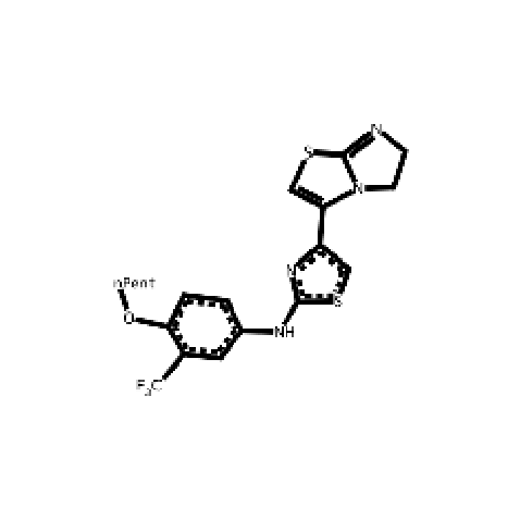 CCCCCOc1ccc(Nc2nc(C3=CSC4=NCCN34)cs2)cc1C(F)(F)F